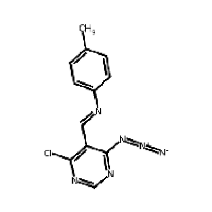 Cc1ccc(/N=C/c2c(Cl)ncnc2N=[N+]=[N-])cc1